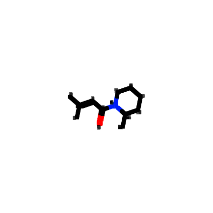 CC(C)=CC(=O)N1CCCCC1C